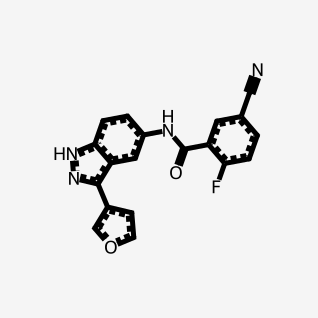 N#Cc1ccc(F)c(C(=O)Nc2ccc3[nH]nc(-c4ccoc4)c3c2)c1